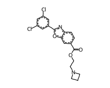 O=C(OCCN1CCC1)c1ccc2nc(-c3cc(Cl)cc(Cl)c3)oc2c1